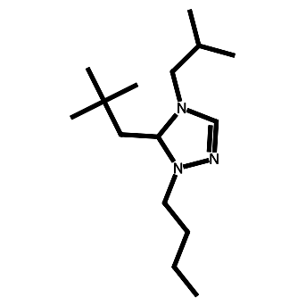 CCCCN1N=CN(CC(C)C)C1CC(C)(C)C